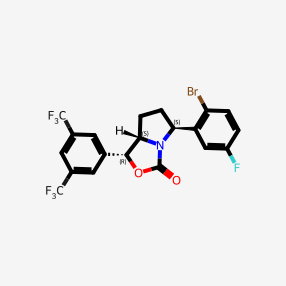 O=C1O[C@H](c2cc(C(F)(F)F)cc(C(F)(F)F)c2)[C@@H]2CC[C@@H](c3cc(F)ccc3Br)N12